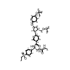 CCS(=O)(=O)c1ccc([C@H](CNC(=O)NC)NC(=O)c2ccc(N3CC(Oc4ccc(OC(F)(F)F)cn4)C[C@H]3COC(F)F)nc2)cc1